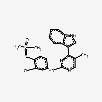 Cc1cnc(Nc2ccc(N=S(C)(C)=O)c(Cl)c2)nc1-c1c[nH]c2ccccc12